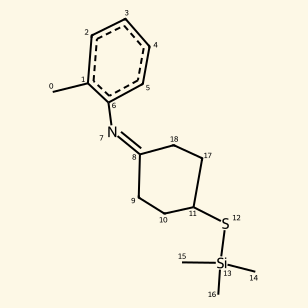 Cc1ccccc1N=C1CCC(S[Si](C)(C)C)CC1